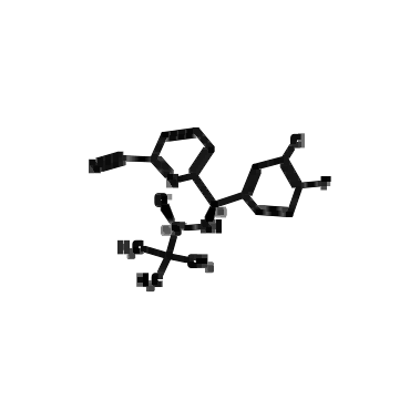 CC(C)(C)[S@@+]([O-])N[C@H](c1ccc(F)c(Cl)c1)c1cccc(C#N)n1